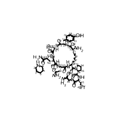 C1CCNCC1.CC[C@H](C)[C@@H]1NC(=O)[C@H](Cc2ccc(O)cc2)NC(=O)[C@@H](N)CSSC[C@@H](C(=O)N2CCC[C@H]2C(=O)N[C@@H](CC(C)C)C(=O)NCC(N)=O)NC(=O)[C@H](CC(N)=O)NC(=O)[C@H](CCC(N)=O)NC1=O